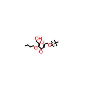 CCCCOc1c(CO)oc(CO[Si](C)(C)C(C)(C)C)cc1=O